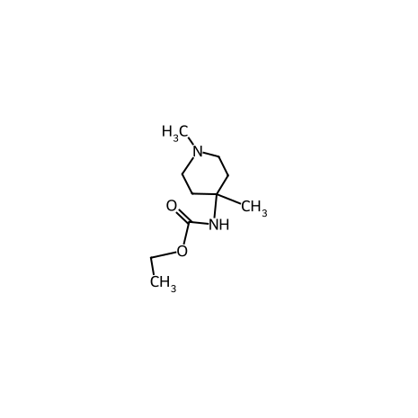 CCOC(=O)NC1(C)CCN(C)CC1